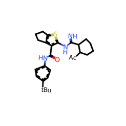 CC(=O)C1CCCCC1C(=N)Nc1sc2c(c1C(=O)Nc1ccc(C(C)(C)C)cc1)CCC2